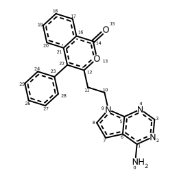 Nc1ncnc2c1ccn2CCc1oc(=O)c2ccccc2c1-c1ccccc1